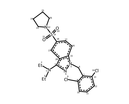 CCN(CC)c1nn(Cc2c(Cl)cccc2Cl)c2ccc(S(=O)(=O)N3CCCC3)cc12